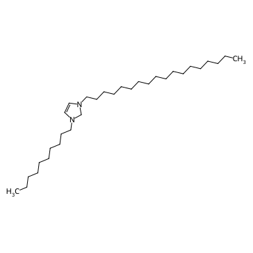 CCCCCCCCCCCCCCCCCCN1C=CN(CCCCCCCCCC)C1